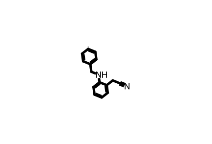 N#CCc1ccccc1NCc1cc[c]cc1